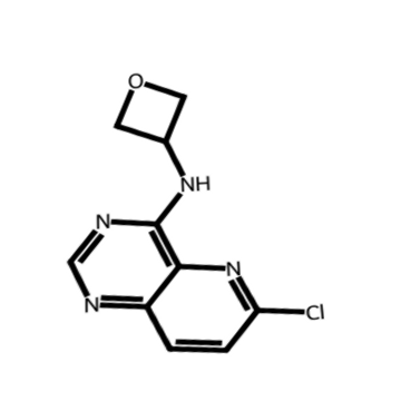 Clc1ccc2ncnc(NC3COC3)c2n1